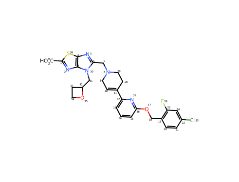 O=C(O)c1nc2c(nc(CN3CC=C(c4cccc(OCc5ccc(Cl)cc5F)n4)CC3)n2CC2CCO2)s1